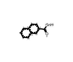 O=[C]([SnH])c1ccc2ccccc2c1